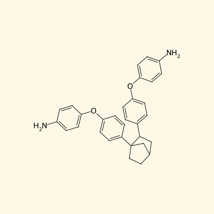 Nc1ccc(Oc2ccc(C3CC4CCC3(c3ccc(Oc5ccc(N)cc5)cc3)C4)cc2)cc1